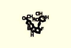 CC(=O)c1c[nH]c(/C=C2\C(=O)Nc3ccc(F)c(C#CC4(O)CCNCC4)c32)c1.Cl